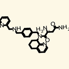 NC(=O)C[C@H](N)C(=O)N(Cc1ccc(CNCc2ccccn2)cc1)C1CCCc2cccnc21